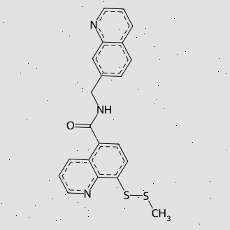 CSSc1ccc(C(=O)NCc2ccc3cccnc3c2)c2cccnc12